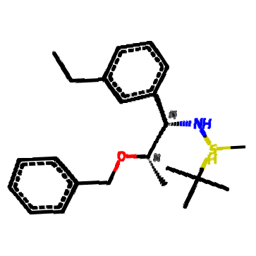 CCc1cccc([C@H](N[SH](C)C(C)(C)C)[C@H](C)OCc2ccccc2)c1